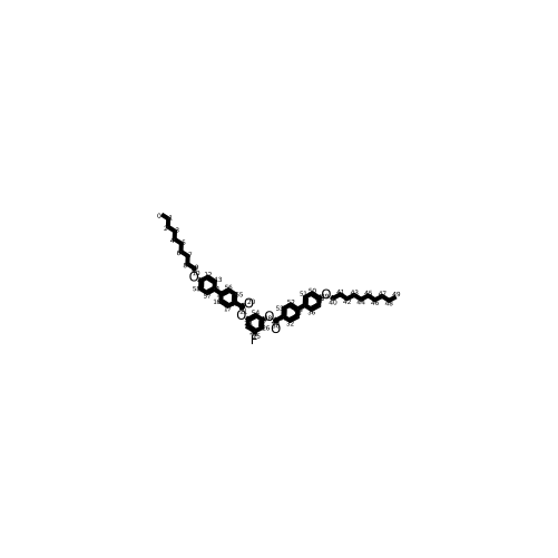 CCCCCCCCCCOc1ccc(-c2ccc(C(=O)Oc3cc(F)cc(OC(=O)c4ccc(-c5ccc(OCCCCCCCCCC)cc5)cc4)c3)cc2)cc1